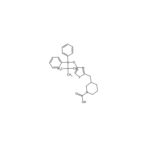 CC(C)(C)[Si](Oc1csc(CC2CCCN(C(=O)O)C2)n1)(c1ccccc1)c1ccccc1